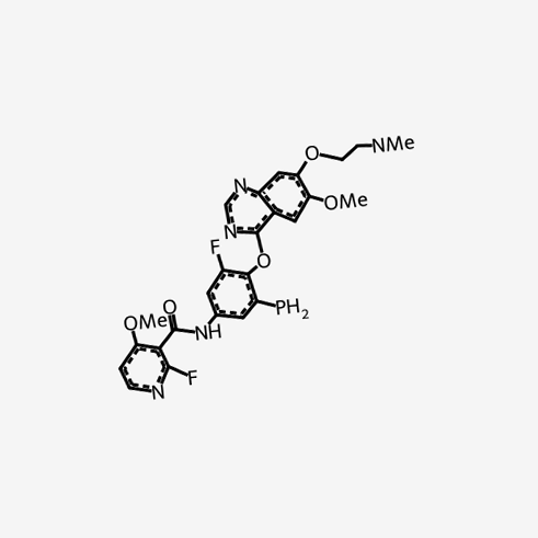 CNCCOc1cc2ncnc(Oc3c(F)cc(NC(=O)c4c(OC)ccnc4F)cc3P)c2cc1OC